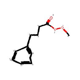 COOC(=O)CCCc1ccccc1